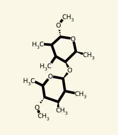 CO[C@@H]1O[C@@H](C)[C@@H](O[C@@H]2OC(C)[C@@H](OC)[C@H](C)C2C)C(C)C1C